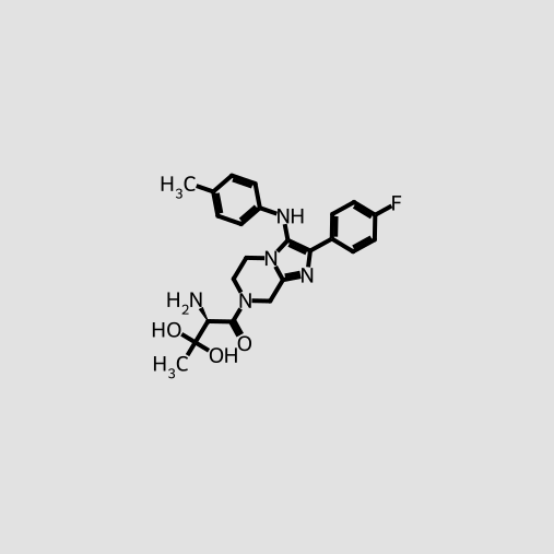 Cc1ccc(Nc2c(-c3ccc(F)cc3)nc3n2CCN(C(=O)[C@H](N)C(C)(O)O)C3)cc1